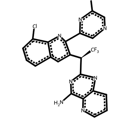 COc1cncc(-c2nc3c(Cl)cccc3cc2[C@H](c2nc(N)c3ncccc3n2)C(F)(F)F)n1